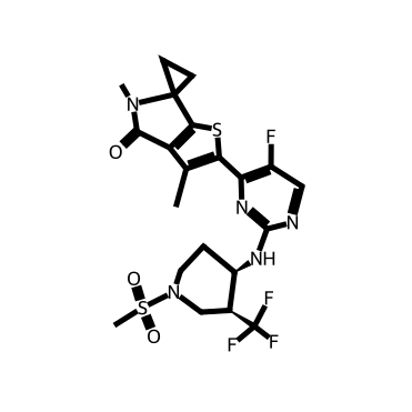 Cc1c(-c2nc(N[C@@H]3CCN(S(C)(=O)=O)C[C@@H]3C(F)(F)F)ncc2F)sc2c1C(=O)N(C)C21CC1